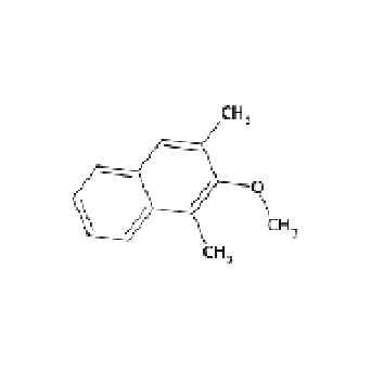 COc1c(C)cc2ccccc2c1C